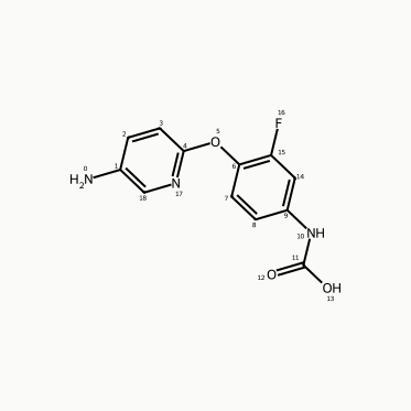 Nc1ccc(Oc2ccc(NC(=O)O)cc2F)nc1